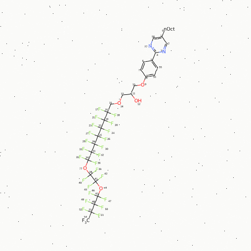 CCCCCCCCc1cnc(-c2ccc(OCC(O)COCC(F)(F)C(F)(F)C(F)(F)C(F)(F)C(F)(F)C(F)(F)C(F)(F)OC(F)(F)C(F)(F)OC(F)(F)C(F)(F)C(F)(F)C(F)(F)F)cc2)nc1